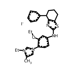 CCOc1cc(Nc2nc3c(s2)CCCC3c2ccccc2)ccc1-n1cc(C)[n+](CC)c1.[I-]